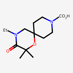 CCN1CC2(CCN(C(=O)O)CC2)OC(C)(C)C1=O